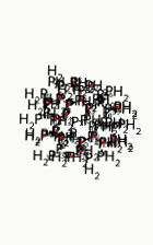 PP(P)P(P)P(P(P(P)P)P(P)P)P(P(P(P)P)P(P)P)P(P(P(P(P)P)P(P)P)P(P(P)P)P(P)P)P(P(P(P(P)P)P(P)P)P(P(P)P)P(P)P)P(P(P(P)P)P(P)P)P(P(P)P)P(P)P